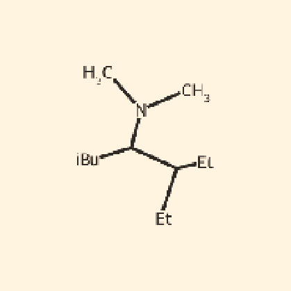 CCC(C)C(C(CC)CC)N(C)C